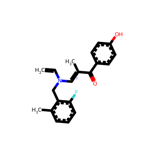 C=CN(/C=C(\C)C(=O)c1ccc(O)cc1)Cc1c(C)cccc1F